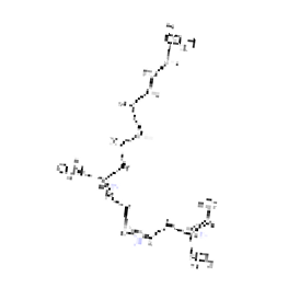 CC/C=C(\C/C=C\C/C=C(\CCCCCCCC(=O)O)[N+](=O)[O-])[N+](=O)[O-]